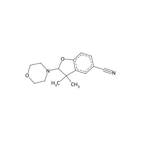 CC1(C)c2cc(C#N)ccc2OC1N1CCOCC1